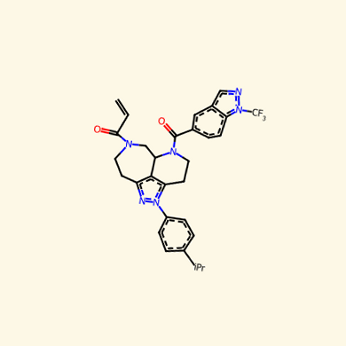 C=CC(=O)N1CCc2nn(-c3ccc(C(C)C)cc3)c3c2C(C1)N(C(=O)c1ccc2c(cnn2C(F)(F)F)c1)CC3